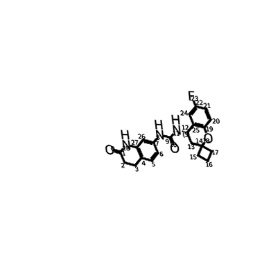 O=C1CCc2ccc(NC(=O)N[C@H]3CC4(CCC4)Oc4ccc(F)cc43)cc2N1